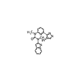 CC(C)n1cnnc1-c1cccc(N(C)C(=O)N(C)c2cc3ccccn3n2)n1